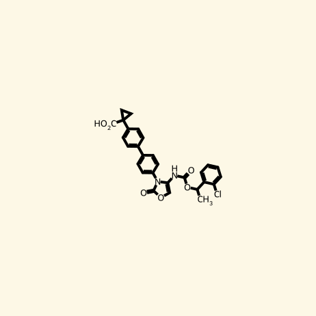 CC(OC(=O)Nc1coc(=O)n1-c1ccc(-c2ccc(C3(C(=O)O)CC3)cc2)cc1)c1ccccc1Cl